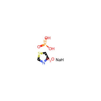 O.O=[PH](O)O.[NaH].c1cscn1